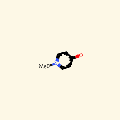 COn1ccc(=O)cc1